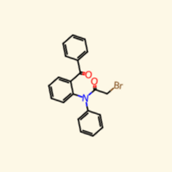 O=C(c1ccccc1)c1ccccc1N(C(=O)CBr)c1ccccc1